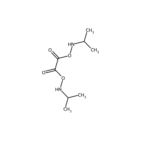 CC(C)NOC(=O)C(=O)ONC(C)C